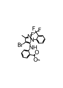 COC(=O)c1ccccc1Nc1c(Br)c(C)nn1-c1ccccc1C(F)(F)F